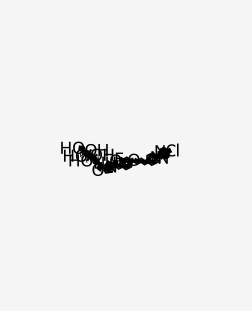 O=C(NC[C@H](O)[C@@H](O)[C@H](O)[C@H](O)CO)[C@H]1CCN(C(=O)Cc2ccc(OCCCC3CCN(c4ncc(Cl)cn4)CC3)cc2F)C1